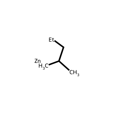 CCCC(C)C.[Zn]